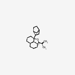 C=C(C)C(=O)OC1(C2CC3CCC2C3)CCCC2CCCCC21